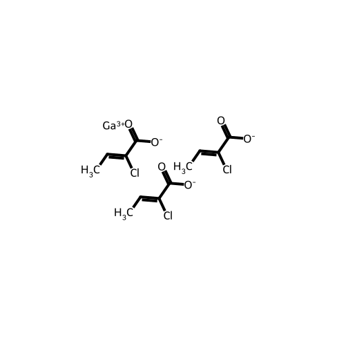 C/C=C(\Cl)C(=O)[O-].C/C=C(\Cl)C(=O)[O-].C/C=C(\Cl)C(=O)[O-].[Ga+3]